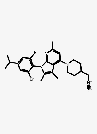 [C-]#[N+]CC1CCN(c2cc(C)nc3c2c(C)c(C)n3-c2c(Br)cc(C(C)C)cc2Br)CC1